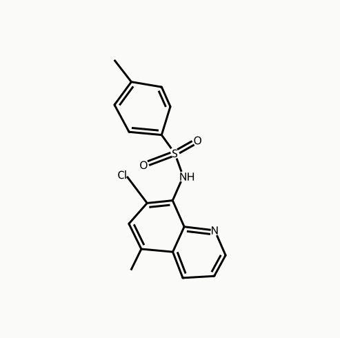 Cc1ccc(S(=O)(=O)Nc2c(Cl)cc(C)c3cccnc23)cc1